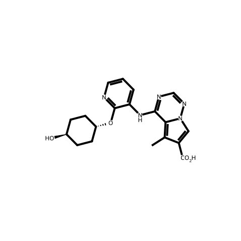 Cc1c(C(=O)O)cn2ncnc(Nc3cccnc3O[C@H]3CC[C@H](O)CC3)c12